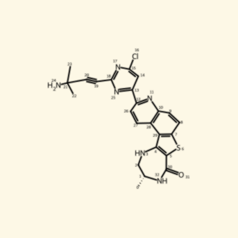 C[C@@H]1CNc2c(sc3ccc4nc(-c5cc(Cl)nc(C#CC(C)(C)N)n5)ccc4c23)C(=O)N1